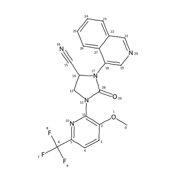 COc1ccc(C(F)(F)F)nc1N1CC(C#N)N(c2cncc3ccccc23)C1=O